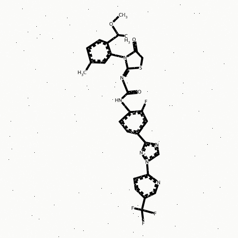 COC(C)c1ccc(C)cc1N1C(=O)CS/C1=N\C(=O)Nc1ccc(-c2ncn(-c3ccc(C(F)(F)F)cn3)n2)cc1F